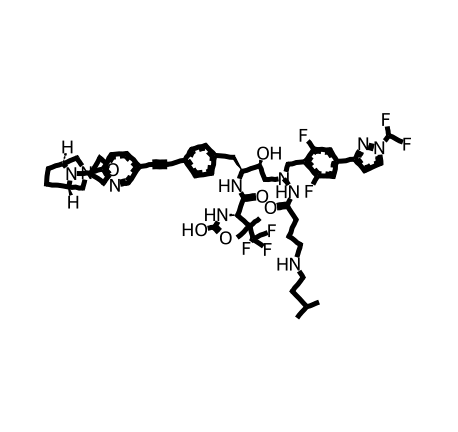 CC(C)CCNCCCC(=O)NN(Cc1c(F)cc(-c2ccn(C(F)F)n2)cc1F)C[C@H](O)[C@H](Cc1ccc(C#Cc2ccc(N3C[C@@H]4CC[C@@H](C3)N4C3COC3)nc2)cc1)NC(=O)[C@@H](NC(=O)O)C(C)(C)C(F)(F)F